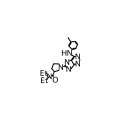 CCN(CC)C(=O)C1CCCN(c2ncc3ncnc(Nc4cccc(C)c4)c3n2)C1